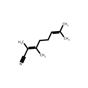 CC(C)=CCC/C(C)=C(\C)C#N